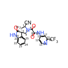 N#C[C@@H]1C[C@@]2(CN1C(=O)C(=O)Nc1ccnc(C(F)(F)F)c1)C(=O)Nc1ccccc12